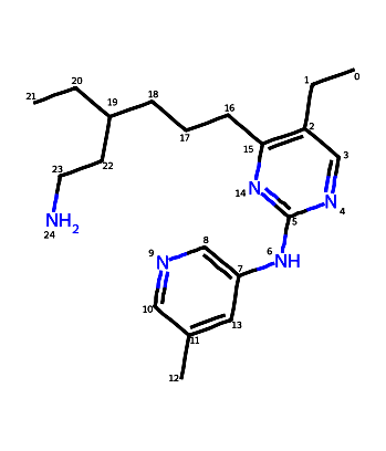 CCc1cnc(Nc2cncc(C)c2)nc1CCCC(CC)CCN